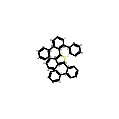 c1ccc(-c2ccccc2-c2sc(-c3c(-c4ccccc4)cccc3-c3ccccc3)c3ccccc23)cc1